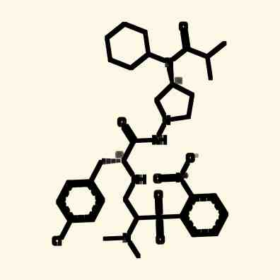 CC(C)C(=O)N(C1CCCCC1)[C@H]1CCN(NC(=O)[C@@H](Cc2ccc(Cl)cc2)NCC(N(C)C)S(=O)(=O)c2ccccc2[N+](=O)[O-])C1